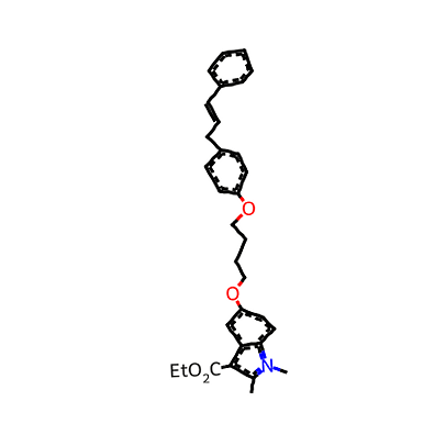 CCOC(=O)c1c(C)n(C)c2ccc(OCCCCOc3ccc(CC=Cc4ccccc4)cc3)cc12